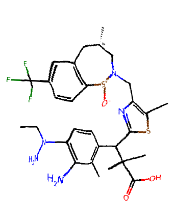 CCN(N)c1ccc(C(c2nc(CN3C[C@@H](C)Cc4cc(C(F)(F)F)ccc4[S+]3[O-])c(C)s2)C(C)(C)C(=O)O)c(C)c1N